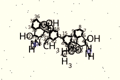 [H]/N=N/C1=C(O)c2ccccc2C(c2ccc(-c3ccc(C4(S(=O)(=O)O)CC(/N=N/[H])=C(O)c5ccccc54)c(CC)c3)cc2CC)(S(=O)(=O)O)C1